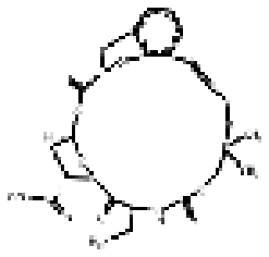 COC(=O)[C@@H]1C[C@@H]2CN1C(=O)[C@H](CN)NC(=O)OCC(C)(C)CC/C=C/c1cccc3c1CN(C3)C(=O)O2